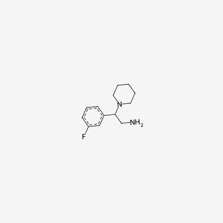 NCC(c1cccc(F)c1)N1CCCCC1